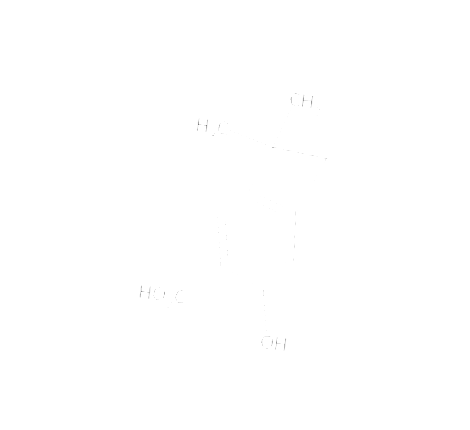 CC1(C)Cc2cc(O)c(C(=O)O)cc21